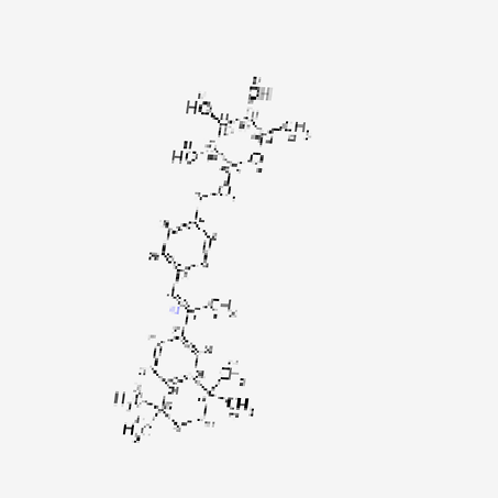 C/C(=C\c1ccc(CO[C@@H]2O[C@H](C)[C@@H](O)[C@H](O)[C@H]2O)cc1)c1ccc2c(c1)C(C)(C)CCC2(C)C